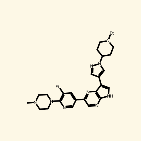 CCc1cc(-c2cnc3[nH]cc(-c4cnn(C5CCN(CC)CC5)c4)c3n2)cnc1N1CCN(C)CC1